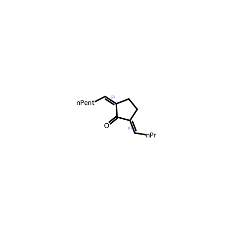 CCC/C=C1\CC/C(=C/CCCCC)C1=O